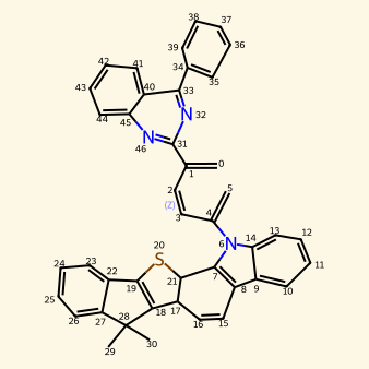 C=C(/C=C\C(=C)n1c2c(c3ccccc31)C=CC1C3=C(SC21)c1ccccc1C3(C)C)c1nc(-c2ccccc2)c2ccccc2n1